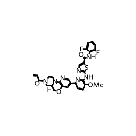 C=CC(=O)N1CCN2c3ncc(-c4ccc(OC)c(Nc5ncc(C(=O)Nc6c(F)cccc6F)s5)n4)cc3OC[C@@H]2C1